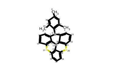 Cc1cc(C)c(B2c3cccc4c3B3c5c(cccc5Sc5cccc2c53)S4)c(C)c1